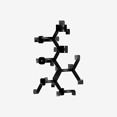 CSC(SC)=C(C(=O)NC(N)=S)C(C)C